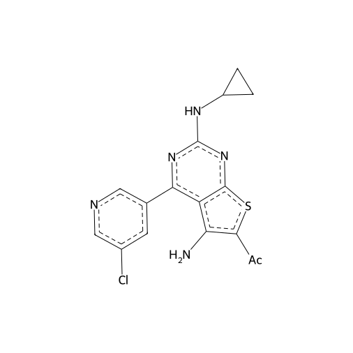 CC(=O)c1sc2nc(NC3CC3)nc(-c3cncc(Cl)c3)c2c1N